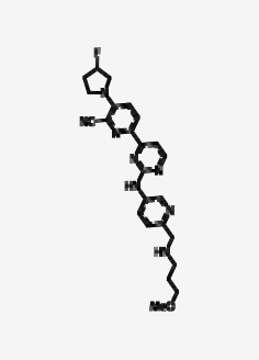 COCCCNCc1ccc(Nc2nccc(-c3ccc(N4CCC(F)C4)c(C#N)n3)n2)cn1